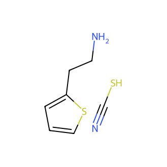 N#CS.NCCc1cccs1